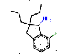 CCCC1(CCC)Cc2cccc(F)c2[C@H]1N